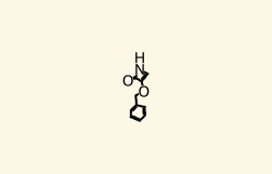 O=C1NC=C1OCc1ccccc1